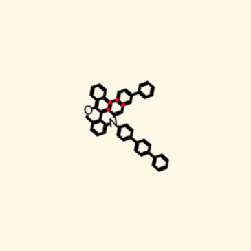 c1ccc(-c2ccc(-c3ccc(N(c4ccccc4)c4cccc5c4-c4cc(-c6ccc(-c7ccccc7)cc6)c6ccccc6c4OC5)cc3)cc2)cc1